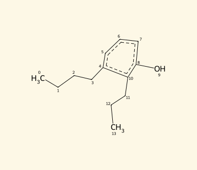 CCCCc1cccc(O)c1CCC